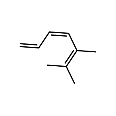 C=C/C=C\C(C)=C(C)C